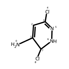 NC1=CC(Cl)=NNC1Cl